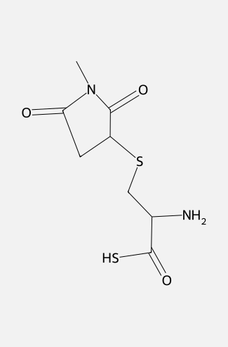 CN1C(=O)CC(SCC(N)C(=O)S)C1=O